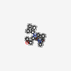 c1ccc(C2(c3ccc(N(c4ccc(-c5cccc6oc7ccccc7c56)cc4)c4ccc5c(c4)C4(c6ccccc6-5)c5ccccc5-n5c6ccccc6c6cccc4c65)cc3)c3ccccc3-c3ccccc32)cc1